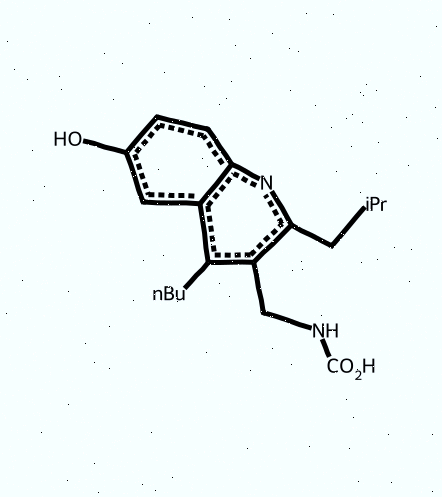 CCCCc1c(CNC(=O)O)c(CC(C)C)nc2ccc(O)cc12